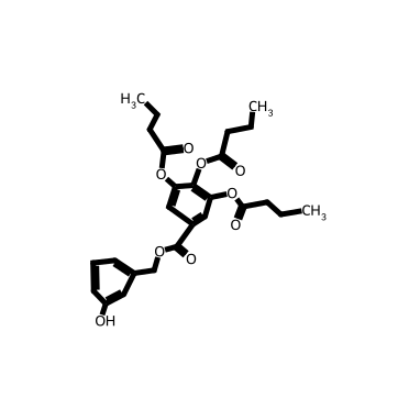 CCCC(=O)Oc1cc(C(=O)OCc2cccc(O)c2)cc(OC(=O)CCC)c1OC(=O)CCC